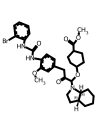 COC(=O)C1CCC(OC(C(=O)Cc2ccc(NC(=O)Nc3ccccc3Br)c(OC)c2)N2CC[C@H]3CCCC[C@H]32)CC1